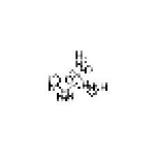 NC(=O)C(=O)C(Cc1ccc[nH]1)NC(=O)c1nsnc1-c1ccccn1